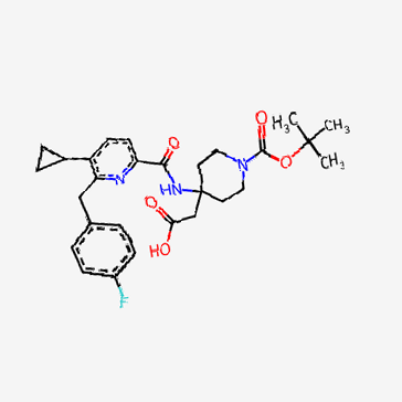 CC(C)(C)OC(=O)N1CCC(CC(=O)O)(NC(=O)c2ccc(C3CC3)c(Cc3ccc(F)cc3)n2)CC1